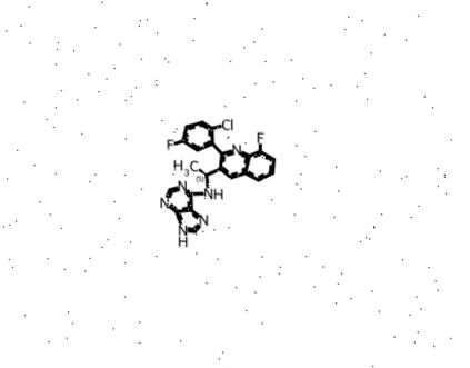 C[C@H](Nc1ncnc2[nH]cnc12)c1cc2cccc(F)c2nc1-c1cc(F)ccc1Cl